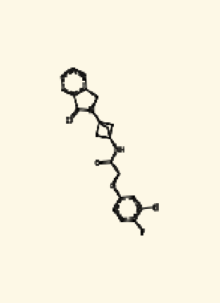 O=C(COc1ccc(F)c(Cl)c1)NC12CC(N3Cc4ccccc4C3=O)(C1)C2